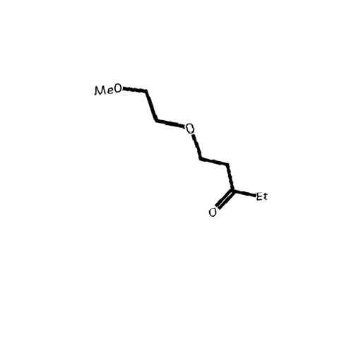 CCC(=O)CCOCCOC